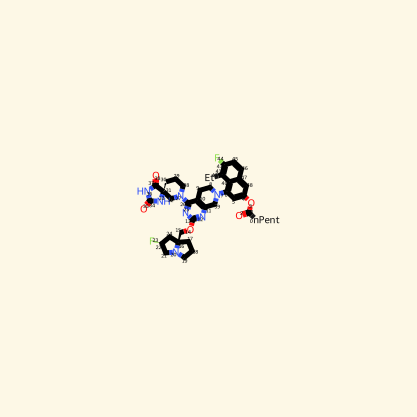 CCCCCC(=O)Oc1cc(N2CCc3c(nc(OC[C@@]45CCCN4C[C@H](F)C5)nc3N3CCC[C@]4(C3)NC(=O)NC4=O)C2)c2c(CC)c(F)ccc2c1